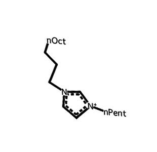 CCCCCCCCCCCn1cc[n+](CCCCC)c1